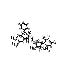 CC(C)C[C@H](NP(=O)(OC[C@H]1O[C@@H](n2ccc(=O)[nH]c2=O)[C@](C)(F)[C@@H]1O)Oc1ccccc1)C(=O)O